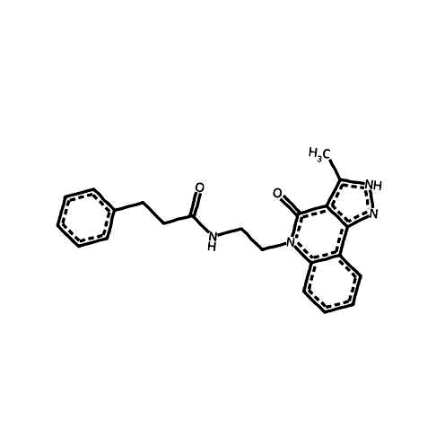 Cc1[nH]nc2c1c(=O)n(CCNC(=O)CCc1ccccc1)c1ccccc21